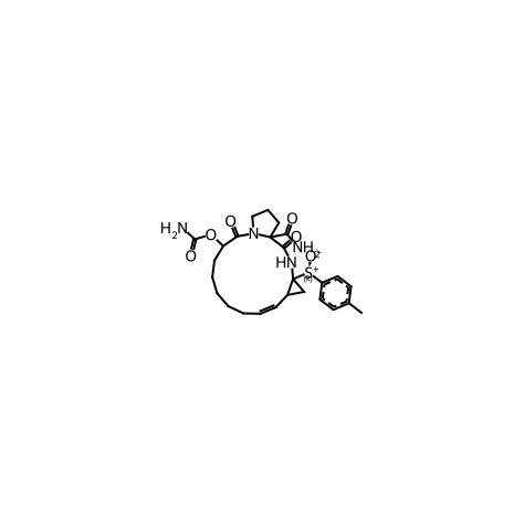 Cc1ccc([S@+]([O-])C23CC2C=CCCCCCC(OC(N)=O)C(=O)N2CCCC2(C(N)=O)C(=O)N3)cc1